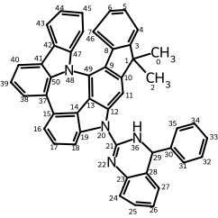 CC1(C)c2ccccc2-c2c1cc1c3c4c(cccc4n1C1=Nc4ccccc4C(c4ccccc4)N1)c1cccc4c5ccccc5n(c23)c14